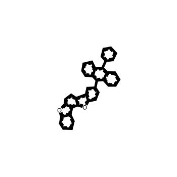 c1ccc(-c2c3ccccc3c(-c3ccc4oc5c(ccc6oc7ccccc7c65)c4c3)c3ccccc23)cc1